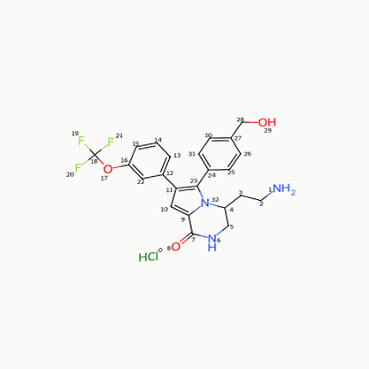 Cl.NCCC1CNC(=O)c2cc(-c3cccc(OC(F)(F)F)c3)c(-c3ccc(CO)cc3)n21